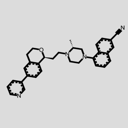 C[C@@H]1CN(c2cccc3cc(C#N)ccc23)CCN1CC[C@@H]1OCCc2cc(-c3cccnc3)ccc21